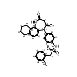 O=C1CC(=O)N(c2ccc(NS(=O)(=O)Cc3ccccc3Cl)cc2)c2ccc3c(c2N1)CCCC3